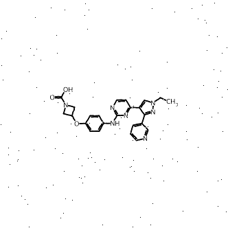 CCn1cc(-c2ccnc(Nc3ccc(OC4CN(C(=O)O)C4)cc3)n2)c(-c2cccnc2)n1